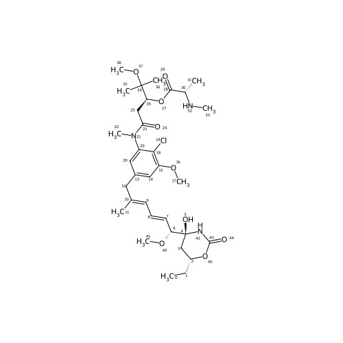 CC[C@@H]1C[C@](O)([C@@H](/C=C/C=C(\C)Cc2cc(OC)c(Cl)c(N(C)C(=O)C[C@H](OC(=O)[C@H](C)NC)C(C)(C)OC)c2)OC)NC(=O)O1